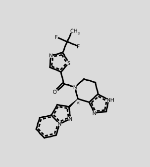 CC(F)(F)c1ncc(C(=O)N2CCc3[nH]cnc3[C@H]2c2cc3ccccn3n2)s1